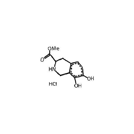 COC(=O)C1Cc2ccc(O)c(O)c2CN1.Cl